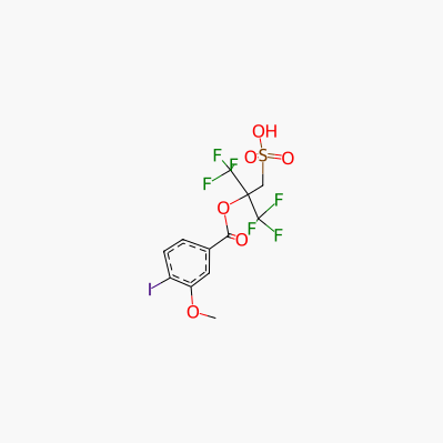 COc1cc(C(=O)OC(CS(=O)(=O)O)(C(F)(F)F)C(F)(F)F)ccc1I